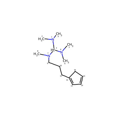 C[N](C)[Hf]([N](C)C)[N](C)CCCC1=CC=CC1